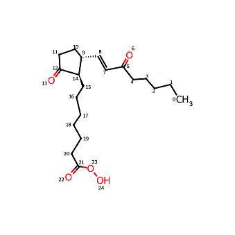 CCCCCC(=O)C=C[C@H]1CCC(=O)[C@@H]1CCCCCCC(=O)OO